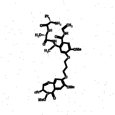 C=CNC(=O)c1cc(OC)c(OCCCOc2cc3c(cc2OC)C(=O)N(OC)[C@@H](CCC)C=N3)cc1N(C)NC(=O)[C@H](C)NC(=O)[C@@H](N)C(C)C